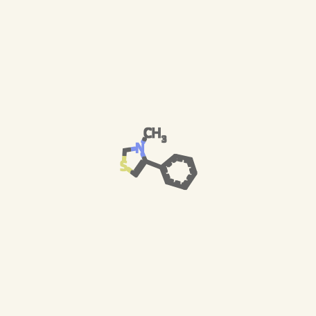 CN1CSC=C1c1ccccc1